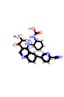 CC(C)C(=O)c1cnc2ccc(-c3ccc(C#N)nc3)cc2c1NC1CCCCC1NC(=O)O